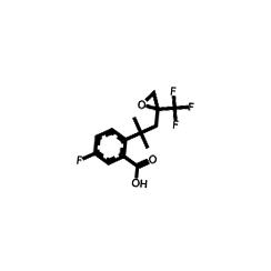 CC(C)(CC1(C(F)(F)F)CO1)c1ccc(F)cc1C(=O)O